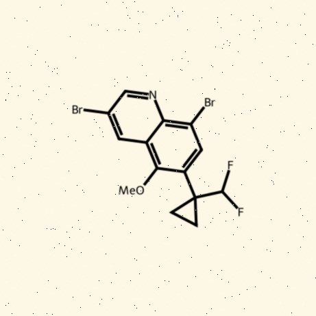 COc1c(C2(C(F)F)CC2)cc(Br)c2ncc(Br)cc12